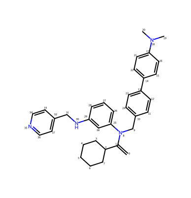 C=C(C1CCCCC1)N(Cc1ccc(-c2ccc(N(C)C)cc2)cc1)c1cccc(NCc2ccncc2)c1